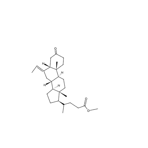 CC=C1C[C@@H]2[C@H](CC[C@]3(C)[C@@H](C(C)CCC(=O)OC)CC[C@@H]23)[C@@]2(C)CCC(=O)C[C@@H]12